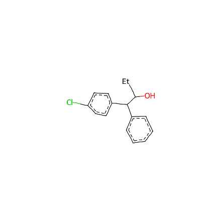 CCC(O)C(c1ccccc1)c1ccc(Cl)cc1